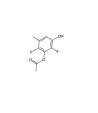 CC(=O)Oc1c(F)c(C)cc(O)c1F